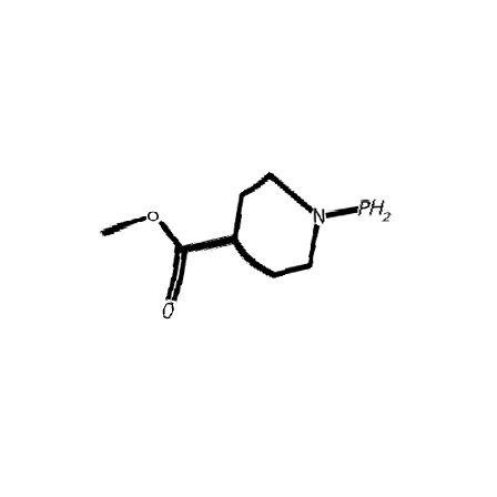 COC(=O)C1CCN(P)CC1